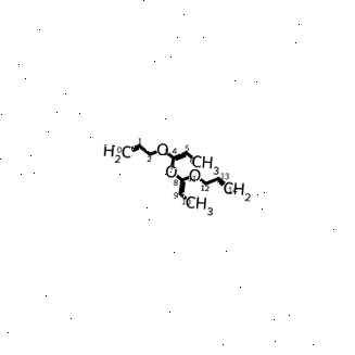 C=CCOC(=CC)OC(=CC)OCC=C